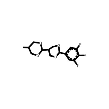 CC1COC(C2COC(c3cc(F)c(F)c(F)c3)OC2)OC1